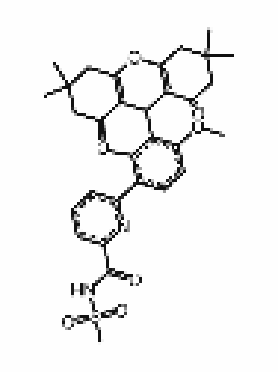 COc1ccc(-c2cccc(C(=O)NS(C)(=O)=O)n2)c(C)c1C1C2=C(CC(C)(C)CC2=O)OC2=C1C(=O)CC(C)(C)C2